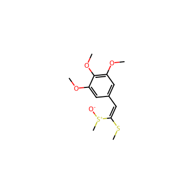 COc1cc(C=C(SC)[S+](C)[O-])cc(OC)c1OC